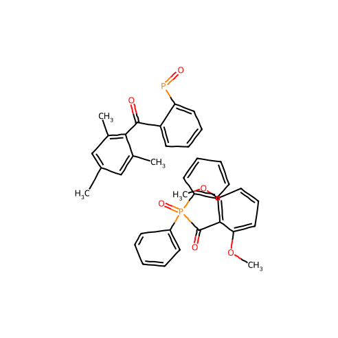 COc1cccc(OC)c1C(=O)P(=O)(c1ccccc1)c1ccccc1.Cc1cc(C)c(C(=O)c2ccccc2P=O)c(C)c1